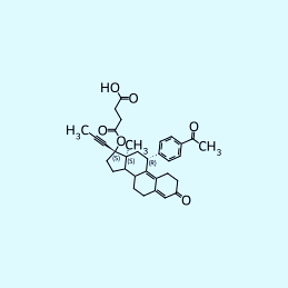 CC#C[C@]1(OC(=O)CCC(=O)O)CCC2C3CCC4=CC(=O)CCC4=C3[C@@H](c3ccc(C(C)=O)cc3)C[C@@]21C